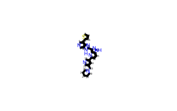 c1csc(-c2cncc3[nH]c(-c4n[nH]c5ccc(-c6cncc(CN7CCCCC7)c6)nc45)nc23)c1